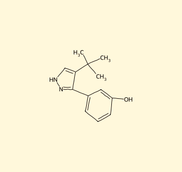 CC(C)(C)c1c[nH]nc1-c1cccc(O)c1